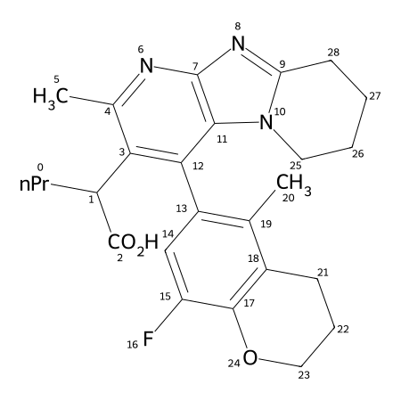 CCCC(C(=O)O)c1c(C)nc2nc3n(c2c1-c1cc(F)c2c(c1C)CCCO2)CCCC3